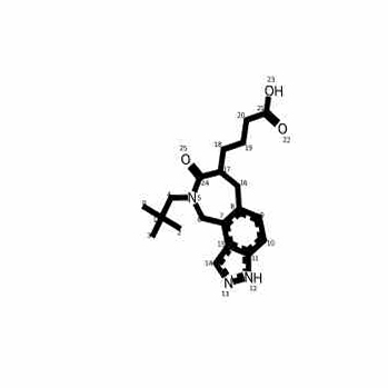 CC(C)(C)CN1Cc2c(ccc3[nH]ncc23)CC(CCCC(=O)O)C1=O